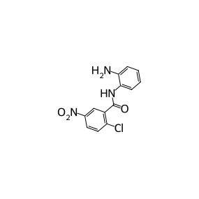 Nc1ccccc1NC(=O)c1cc([N+](=O)[O-])ccc1Cl